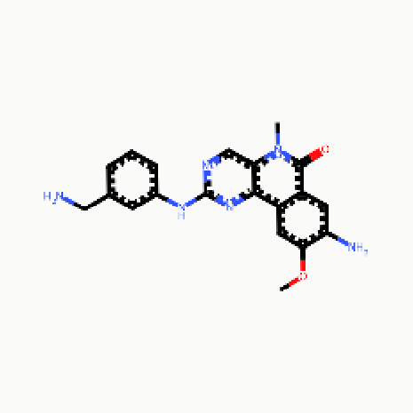 COc1cc2c(cc1N)c(=O)n(C)c1cnc(Nc3cccc(CN)c3)nc21